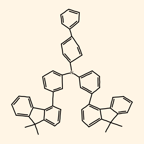 CC1(C)c2ccccc2-c2c(-c3cccc(N(c4ccc(-c5ccccc5)cc4)c4cccc(-c5cccc6c5-c5ccccc5C6(C)C)c4)c3)cccc21